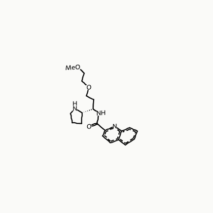 COCCOCCC(NC(=O)c1ccc2ccccc2n1)[C@@H]1CCCN1